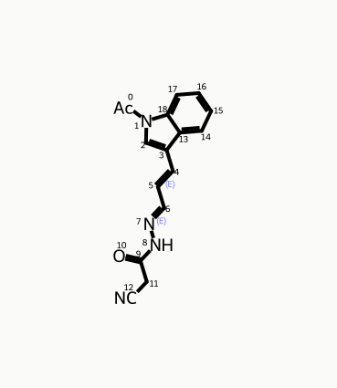 CC(=O)n1cc(/C=C/C=N/NC(=O)CC#N)c2ccccc21